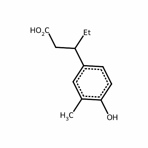 CCC(CC(=O)O)c1ccc(O)c(C)c1